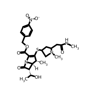 CNC(=O)CC1CC(SC2=C(C(=O)OCc3ccc([N+](=O)[O-])cc3)N3C(=O)[C@@H](C(C)O)[C@@H]3[C@H]2C)CN1C